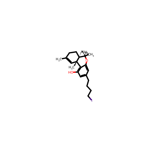 C=C[C@@]12CCC(C)=C[C@@]1(C)c1c(O)cc(CCCCI)cc1OC2(C)C